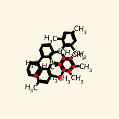 Cc1cc(C)c(B(c2cccc(-c3ccccc3)c2B(c2c(C)cc(C)cc2C)c2c(C)cc(C)cc2C)c2c(C)cc(C)cc2C)c(C)c1